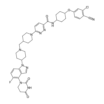 N#Cc1ccc(OC2CCC(NC(=O)c3ccc(N4CCC(CN5CCC(n6ncc7c(N8CCC(=O)NC8=O)c(F)ccc76)CC5)CC4)nn3)CC2)cc1Cl